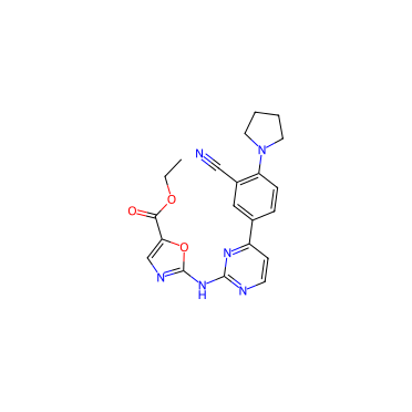 CCOC(=O)c1cnc(Nc2nccc(-c3ccc(N4CCCC4)c(C#N)c3)n2)o1